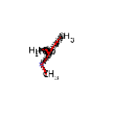 CCCCCCCC/C=C\CCCCCCCCO[C@H](COC(=O)CCCCCCCCCCCCCCC)COP(=O)(O)OCCN